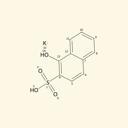 O=S(=O)(O)c1ccc2ccccc2c1O.[K]